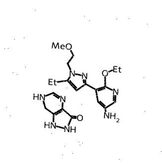 CCOc1ncc(N)cc1-c1cc(CC)n(CCOC)n1.O=c1[nH][nH]c2c1N=CNC2